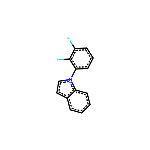 Fc1cccc(-n2ccc3ccccc32)c1F